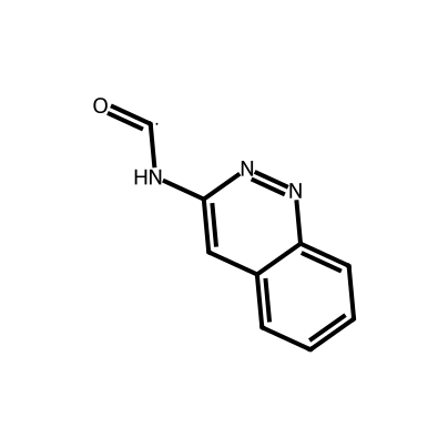 O=[C]Nc1cc2ccccc2nn1